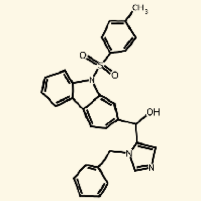 Cc1ccc(S(=O)(=O)n2c3ccccc3c3ccc(C(O)c4cncn4Cc4ccccc4)cc32)cc1